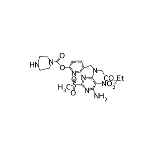 CCOC(=O)CN(Cc1ccc(OC(=O)N2CCNCC2)nc1)c1nc(S(C)(=O)=O)nc(N)c1[N+](=O)[O-]